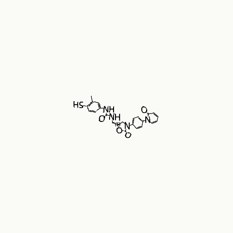 Cc1cc(NC(=O)NC[C@H]2CN(c3ccc(-n4ccccc4=O)cc3)C(=O)O2)ccc1S